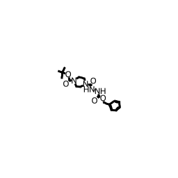 CC(C)(C)OC(=O)N1CCN(C(=O)NNC(=O)OCc2ccccc2)CC1